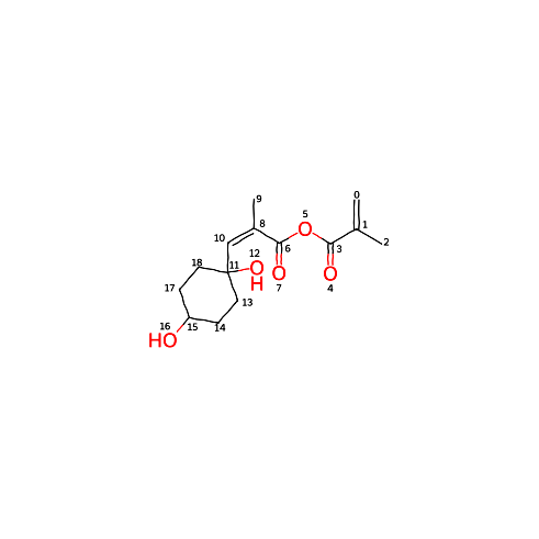 C=C(C)C(=O)OC(=O)C(C)=CC1(O)CCC(O)CC1